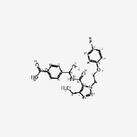 CCc1nnn(CCOc2ccc(F)cc2)c1C(=O)NC(C)c1ccc(C(=O)O)cc1